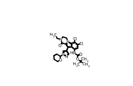 CCN1CCn2c(c(-c3cnn(C4CCCCO4)c3)c3c(NC(=O)OC(C)(C)C)cc(Cl)c(Cl)c32)C1=O